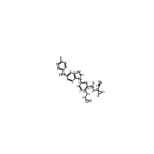 Cc1ccc(Nc2ccc3c(c2)ncn3-c2ccc(CCO)c(N(C)CC3(C#N)CC3)n2)nn1